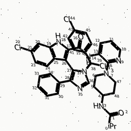 CC(C)C(=O)NC1CCN(c2ncccc2NC(=O)c2[nH]c3cc(Cl)ccc3c2-c2c(-c3ccccc3)ncn2C(C)c2ccc(Cl)cc2)CC1